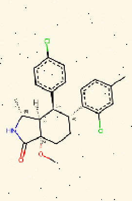 CO[C@@]12CC[C@@H](c3ccc(C)cc3Cl)[C@H](c3ccc(Cl)cc3)[C@@H]1[C@@H](C)NC2=O